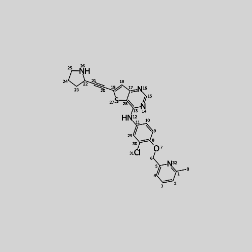 Cc1cccc(COc2ccc(Nc3ncnc4cc(C#CC5CCCN5)sc34)cc2Cl)n1